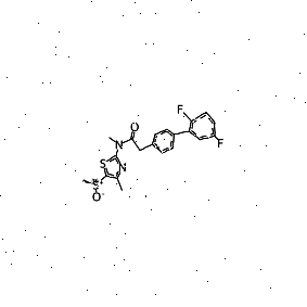 Cc1nc(N(C)C(=O)Cc2ccc(-c3cc(F)ccc3F)cc2)sc1[S@+](C)[O-]